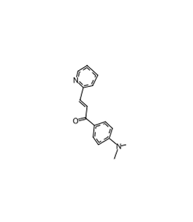 CN(C)c1ccc(C(=O)C=Cc2ccccn2)cc1